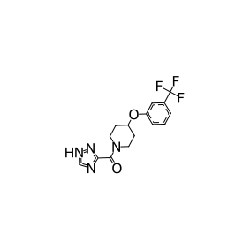 O=C(c1nc[nH]n1)N1CCC(Oc2cccc(C(F)(F)F)c2)CC1